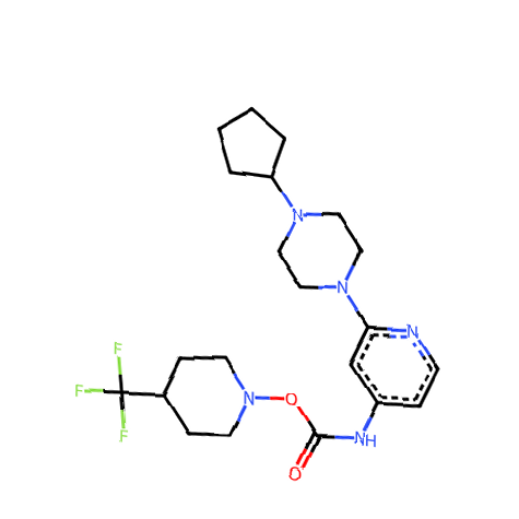 O=C(Nc1ccnc(N2CCN(C3CCCC3)CC2)c1)ON1CCC(C(F)(F)F)CC1